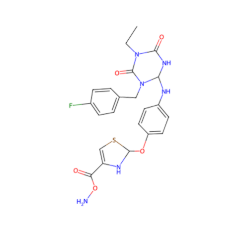 CCN1C(=O)NC(Nc2ccc(OC3NC(C(=O)ON)=CS3)cc2)N(Cc2ccc(F)cc2)C1=O